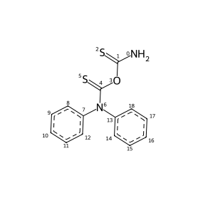 NC(=S)OC(=S)N(c1ccccc1)c1ccccc1